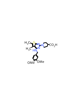 COc1ccc(CNc2nc(N3CCC(C(=O)O)CC3)nc3sc(C)c(C)c23)cc1OC